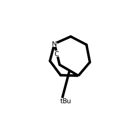 CC(C)(C)C1CCN2CCCC1CC2